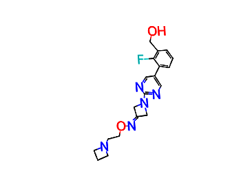 OCc1cccc(-c2cnc(N3CC(=NOCCN4CCC4)C3)nc2)c1F